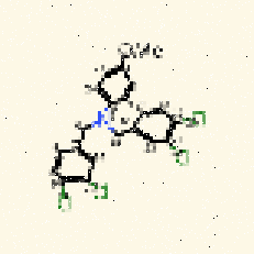 COc1ccc(N(Cc2ccc(Cl)c(Cl)c2)Cc2ccc(Cl)c(Cl)c2)cc1